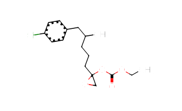 CCOC(=O)OC1(CCCC(C)Cc2ccc(Cl)cc2)CO1